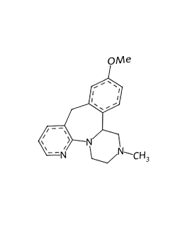 COc1ccc2c(c1)Cc1cccnc1N1CCN(C)CC21